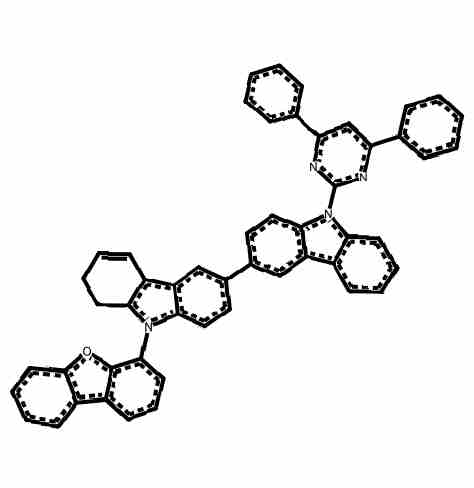 C1=Cc2c(n(-c3cccc4c3oc3ccccc34)c3ccc(-c4ccc5c(c4)c4ccccc4n5-c4nc(-c5ccccc5)cc(-c5ccccc5)n4)cc23)CC1